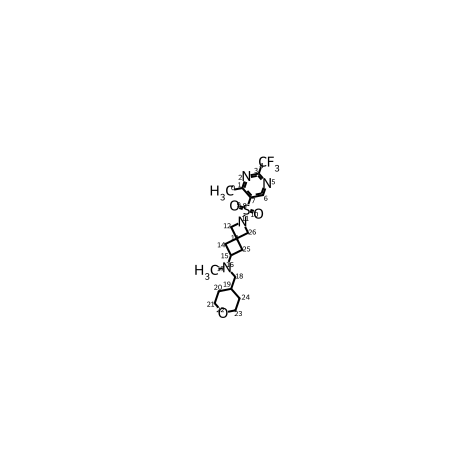 Cc1nc(C(F)(F)F)ncc1S(=O)(=O)N1CC2(CC(N(C)CC3CCOCC3)C2)C1